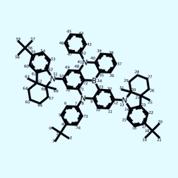 CC(C)(C)c1ccc(N2c3ccc(N4c5ccc(C(C)(C)C)cc5C5(C)CCCCC45C)cc3B3c4ccccc4N(c4ccccc4)c4cc(N5c6ccc(C(C)(C)C)cc6C6(C)CCCCC56C)cc2c43)cc1